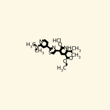 CCOC(=O)c1cc(-c2csc(-c3ccnc(N(C)C)c3)n2)c(=O)[nH]c1C(C)C.Cl